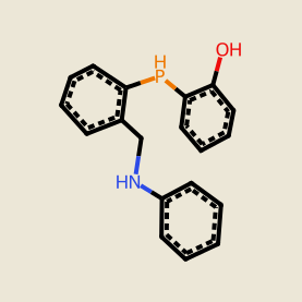 Oc1ccccc1Pc1ccccc1CNc1ccccc1